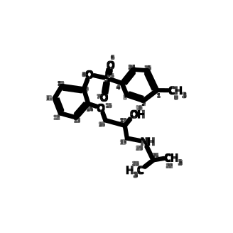 Cc1ccc(S(=O)(=O)Oc2ccccc2OCC(O)CNC(C)C)cc1